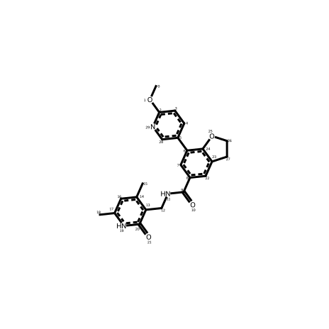 COc1ccc(-c2cc(C(=O)NCc3c(C)cc(C)[nH]c3=O)cc3c2OCC3)cn1